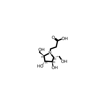 O=C(O)CCN1[C@H](CO)[C@@H](O)[C@H](O)[C@H]1CO